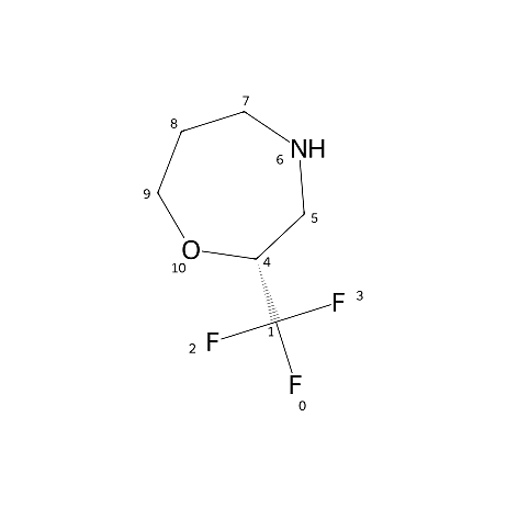 FC(F)(F)[C@H]1CNCCCO1